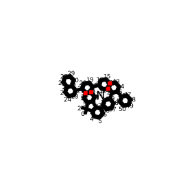 CC1(C)c2ccccc2-c2c(N(c3ccccc3-c3ccc(-c4cccc5ccccc45)cc3)c3ccccc3-c3ccccc3-c3ccccc3)cccc21